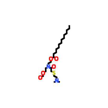 CCCCCCCCCCCCCC(=O)OCCN(CCOC=O)C(=O)CSCCN(C)C